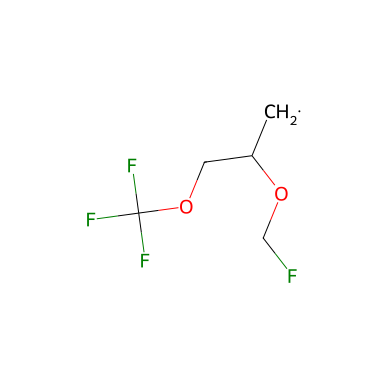 [CH2]C(COC(F)(F)F)OCF